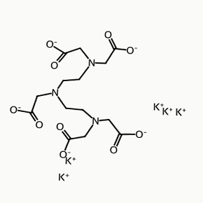 O=C([O-])CN(CCN(CC(=O)[O-])CC(=O)[O-])CCN(CC(=O)[O-])CC(=O)[O-].[K+].[K+].[K+].[K+].[K+]